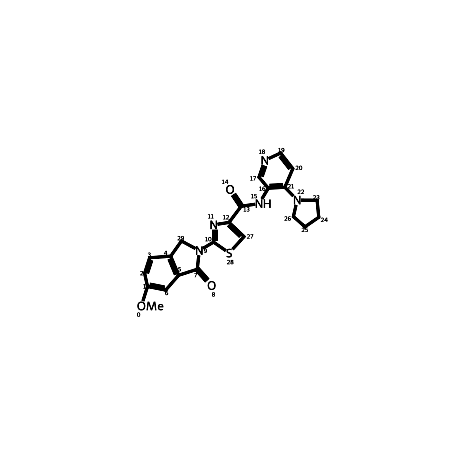 COc1ccc2c(c1)C(=O)N(c1nc(C(=O)Nc3cnccc3N3CCCC3)cs1)C2